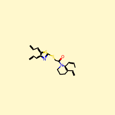 C=C/C=c1/nc(SCC(=O)N2CCCC(C=C)=C2/C=C\C)s/c1=C/C=C